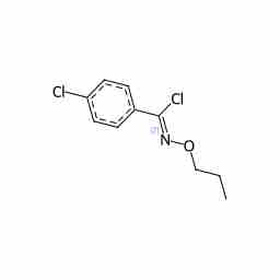 CCCO/N=C(\Cl)c1ccc(Cl)cc1